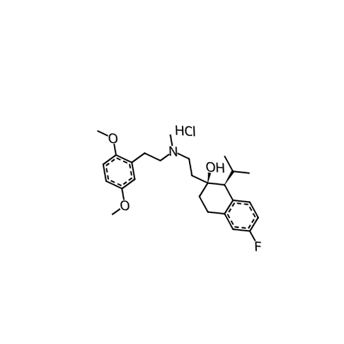 COc1ccc(OC)c(CCN(C)CC[C@@]2(O)CCc3cc(F)ccc3[C@@H]2C(C)C)c1.Cl